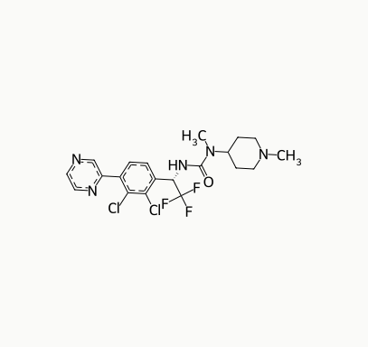 CN1CCC(N(C)C(=O)N[C@@H](c2ccc(-c3cnccn3)c(Cl)c2Cl)C(F)(F)F)CC1